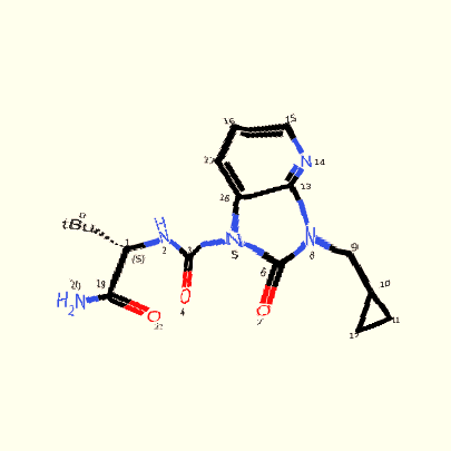 CC(C)(C)[C@H](NC(=O)n1c(=O)n(CC2CC2)c2ncccc21)C(N)=O